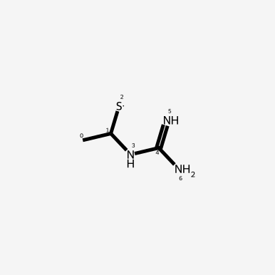 CC([S])NC(=N)N